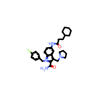 NC(=O)c1c(CN2CCCC2)c2cc(NC(=O)[CH]CC3CCCCC3)ccc2n1Cc1ccc(F)cc1